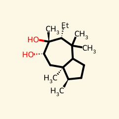 CC[C@@H]1C(C)(C)C2CC[C@@H](C)[C@@]2(C)C[C@H](O)[C@]1(C)O